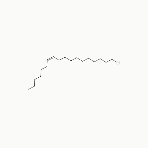 CCCCCC/C=C\CCCCCCCCCCCl